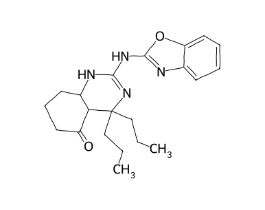 CCCC1(CCC)N=C(Nc2nc3ccccc3o2)NC2CCCC(=O)C21